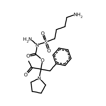 CC(=O)C(Cc1ccccc1)(OC(=O)N(N)S(=O)(=O)CCCCN)N1CCCC1